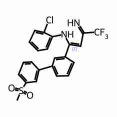 CS(=O)(=O)c1cccc(-c2cccc(/C(=C/C(=N)C(F)(F)F)Nc3ccccc3Cl)c2)c1